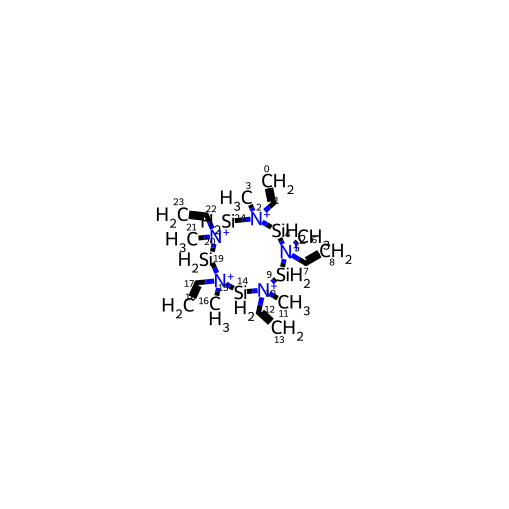 C=C[N+]1(C)[SiH2][N+](C)(C=C)[SiH2][N+](C)(C=C)[SiH2][N+](C)(C=C)[SiH2][N+](C)(C=C)[SiH2]1